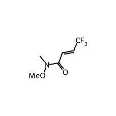 CON(C)C(=O)/C=C/C(F)(F)F